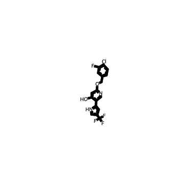 Oc1cc(OCc2ccc(Cl)c(F)c2)ncc1-c1cc(C(F)(F)F)c[nH]1